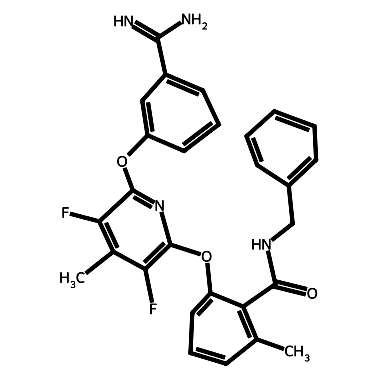 Cc1cccc(Oc2nc(Oc3cccc(C(=N)N)c3)c(F)c(C)c2F)c1C(=O)NCc1ccccc1